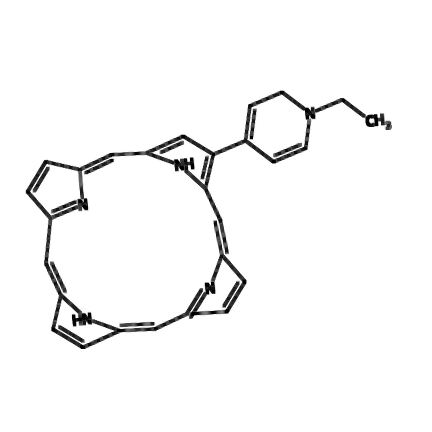 CCN1C=CC(c2cc3cc4nc(cc5ccc(cc6nc(cc2[nH]3)C=C6)[nH]5)C=C4)=CC1